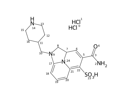 Cl.Cl.NC(=O)C1=CC2CN(CC3CCNCC3)C3=CC=CC(=C1S(=O)(=O)O)N32